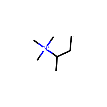 [CH2]CC(C)[N+](C)(C)C